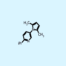 Cc1ccc(C)n1-c1ccc(C(C)C)nc1